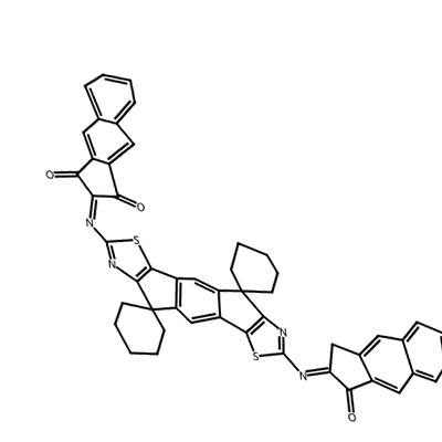 O=C1/C(=N/c2nc3c(s2)-c2cc4c(cc2C32CCCCC2)-c2sc(N=c3c(=O)c5cc6ccccc6cc5c3=O)nc2C42CCCCC2)Cc2cc3ccccc3cc21